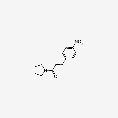 O=C(CCc1ccc([N+](=O)[O-])cc1)N1CC=CC1